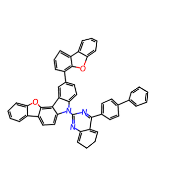 C1=c2nc(-n3c4ccc(-c5cccc6c5oc5ccccc56)cc4c4c5oc6ccccc6c5ccc43)nc(-c3ccc(-c4ccccc4)cc3)c2=CCC1